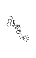 CC(C)(Cn1ccc(S(=O)(=O)NC(=O)Nc2c3c(cc4c2CCC4)CCC3)n1)B1OC(C)(C)C(C)(C)O1